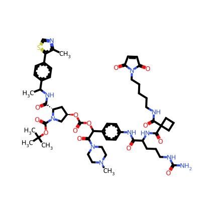 Cc1ncsc1-c1ccc(C(C)NC(=O)[C@@H]2C[C@@H](OC(=O)OC(C(=O)N3CCN(C)CC3)c3ccc(NC(=O)C(CCCNC(N)=O)NC(=O)C4(C(=O)NCCCCCN5C(=O)C=CC5=O)CCC4)cc3)CN2C(=O)OC(C)(C)C)cc1